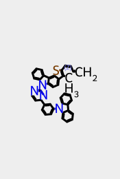 C=C/C=C\c1sc2c(ccc3c2c2ccccc2n3-c2nccc(-c3cccc(-n4c5ccccc5c5ccccc54)c3)n2)c1C